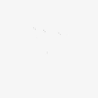 C=[N+]([C@H]1CCN(C(=O)N2CCC2)[C@H]1Cc1cccc(C#CC2(C)CC2)c1F)S(C)(=O)=O